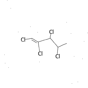 CC(Cl)C(Cl)C(Cl)=CCl